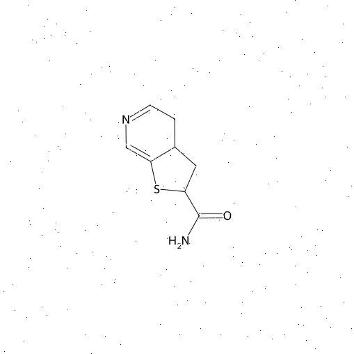 NC(=O)C1CC2CC=NC=C2S1